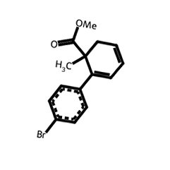 COC(=O)C1(C)CC=CC=C1c1ccc(Br)cc1